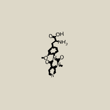 COc1cc(CC(N)C(=O)O)ccc1-n1c(=O)c2ccncc2n(C)c1=O